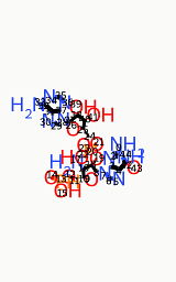 Nc1nc2c(ncn2[C@@H]2O[C@H](CO[PH](=O)O)[C@@H](N)[C@H]2OP(=O)(O)OC[C@H]2O[C@@H](n3cnc4c(N)ncnc43)[C@H](O)[C@@H]2O)c(=O)[nH]1